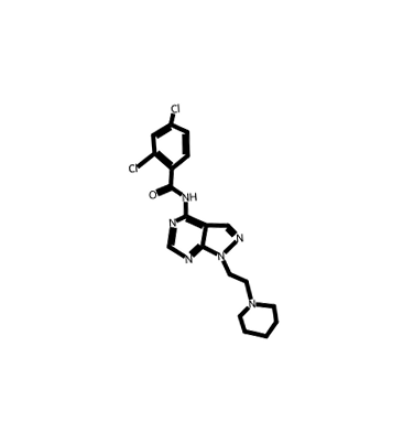 O=C(Nc1ncnc2c1cnn2CCN1CCCCC1)c1ccc(Cl)cc1Cl